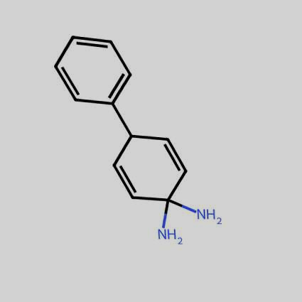 NC1(N)C=CC(c2ccccc2)C=C1